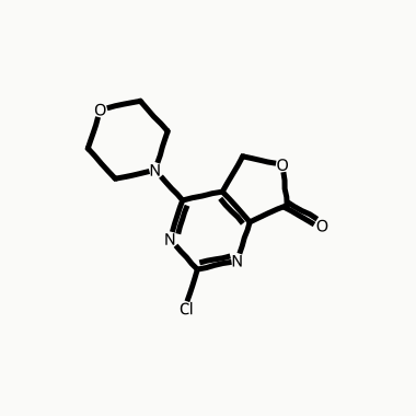 O=C1OCc2c1nc(Cl)nc2N1CCOCC1